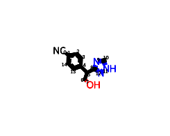 N#Cc1ccc(C(CO)c2nc[nH]n2)cc1